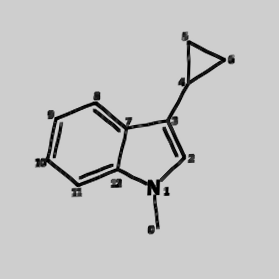 Cn1cc(C2CC2)c2ccccc21